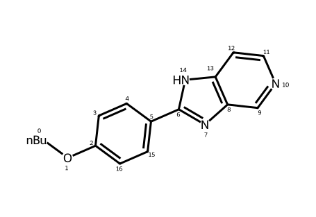 CCCCOc1ccc(-c2nc3cnccc3[nH]2)cc1